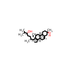 CC[C@]12CC[C@H]3[C@@H](CC=C4C[C@@](C)(O)CC[C@@]43C)[C@@H]1CC[C@@H]2[C@H](C)CC[C@H](O)C(C)C